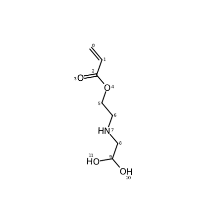 C=CC(=O)OCCNCC(O)O